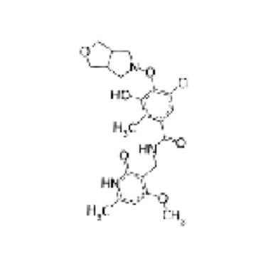 COc1cc(C)[nH]c(=O)c1CNC(=O)c1cc(Cl)c(ON2CC3COCC3C2)c(O)c1C